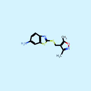 Cc1noc(C)c1CSc1nc2ccc(N)cc2s1